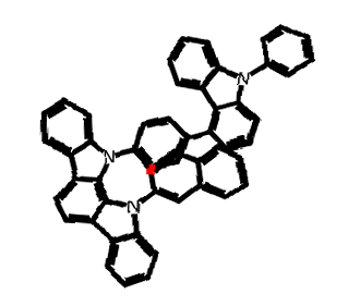 c1ccc(-n2c3ccccc3c3c(-c4ccc(-n5c6ccccc6c6ccc7c8ccccc8n(-c8ccc9ccccc9c8)c7c65)cc4)cccc32)cc1